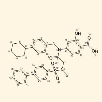 CN(CC(=O)N(Cc1ccc(C2CCCCC2)cc1)c1ccc(C(=O)O)c(O)c1)S(=O)(=O)c1ccc(-c2ccccc2)cc1